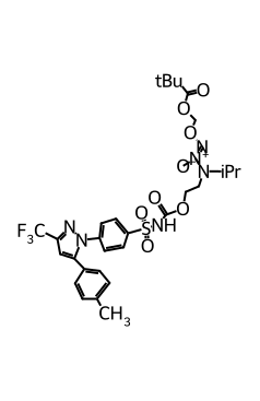 Cc1ccc(-c2cc(C(F)(F)F)nn2-c2ccc(S(=O)(=O)NC(=O)OCCN(C(C)C)/[N+]([O-])=N/OCOC(=O)C(C)(C)C)cc2)cc1